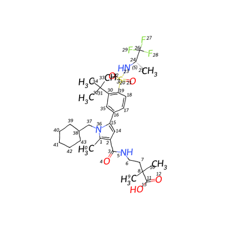 Cc1c(C(=O)NCCC(C)(C)C(=O)O)cc(-c2ccc(S(=O)(=O)N[C@@H](C)C(F)(F)F)c(C(C)(C)C)c2)n1CC1CCCCC1